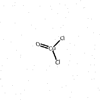 [O]=[Cu]([Cl])[Cl]